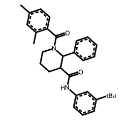 Cc1ccc(C(=O)N2CCCC(C(=O)Nc3cccc(C(C)(C)C)c3)C2c2ccccc2)c(C)c1